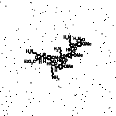 CCOC(=O)CC(=O)N[C@@H](CCCCN)C(=O)Nc1ccc(OC)c(C(=O)N[C@@H](CCCCCN)C(=O)Nc2ccc(OC)c(C(=O)N[C@@H](CCCCN)C(=O)Nc3ccc(OC)c(C(=O)N[C@@H](CCCCN)C(=O)Nc4ccc(OC)c(C(N)=O)c4)c3)c2)c1